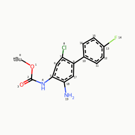 CC(C)(C)OC(=O)Nc1cc(Cl)c(-c2ccc(F)cc2)cc1N